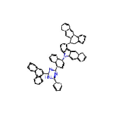 C1=CCC2C=c3c(n(C4C=CC(C5=NC(c6cc7ccccc7c7ccccc67)NC(C6C=CC=CC6)=N5)=C5C=CC=CC54)c4cccc(C5Cc6ccccc6C6C=C7C=CCCC7=CC65)c34)=CC2=C1